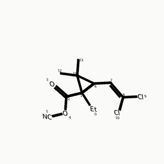 CCC1(C(=O)OC#N)C(C=C(Cl)Cl)C1(C)C